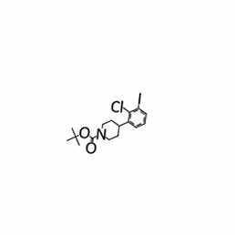 CC(C)(C)OC(=O)N1CCC(c2cccc(I)c2Cl)CC1